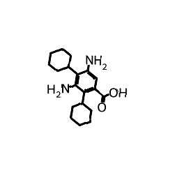 Nc1cc(C(=O)O)c(C2CCCCC2)c(N)c1C1CCCCC1